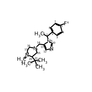 CC(c1ccc(F)cc1)n1cncc1CN1CCN(C)C(C(C)(C)C)C1